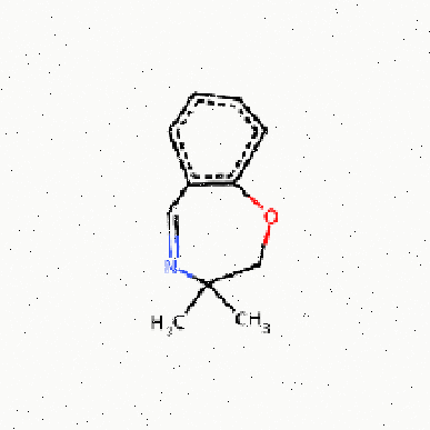 CC1(C)COc2ccccc2C=N1